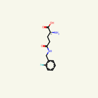 N[C@@H](CCC(=O)NCc1ccccc1F)C(=O)O